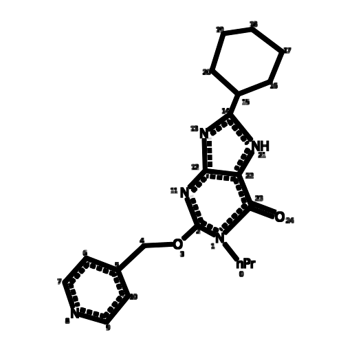 CCCn1c(OCc2ccncc2)nc2nc(C3CCCCC3)[nH]c2c1=O